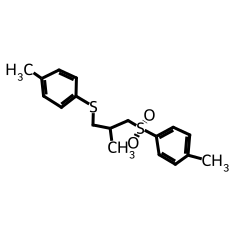 Cc1ccc(SCC(C)CS(=O)(=O)c2ccc(C)cc2)cc1